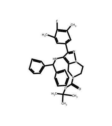 Cc1cc(-c2nn3c(c2NC(c2ccccc2)c2ccccc2)CN(C(=O)OC(C)(C)C)CC3)cc(C)c1F